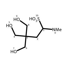 CNC(CC(CO)(CO)CO)S(=O)(=O)O